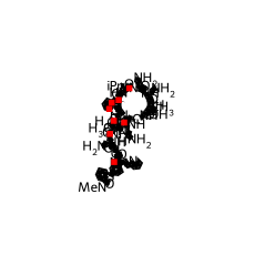 CNC(=O)c1ccccc1Sc1ccc2c(/C=C/c3ccccn3)n(C(=O)OCC(=O)N[C@H](CCN)C(=O)N[C@H](C(=O)N[C@H](CCN)C(=O)N[C@@H]3CCNC(=O)[C@H](C(C)O)NC(=O)[C@H](CCN)NC(=O)C(CCN)NC(=O)[C@H](CC(C)C)NC(=O)[C@H](Cc4ccccc4)NC(=O)[C@H](CCN)NC3=O)[C@H](C)O)nc2c1